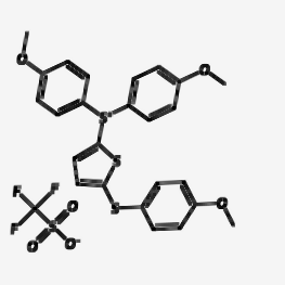 COc1ccc(Sc2ccc([S+](c3ccc(OC)cc3)c3ccc(OC)cc3)s2)cc1.O=S(=O)([O-])C(F)(F)F